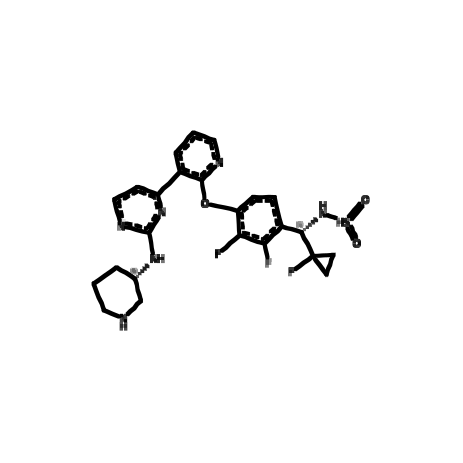 O=[SH](=O)N[C@@H](c1ccc(Oc2ncccc2-c2ccnc(N[C@H]3CCCNC3)n2)c(F)c1F)C1(F)CC1